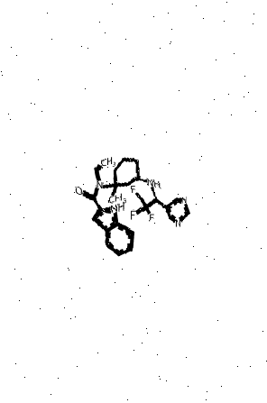 CCN(C(=O)c1cc2ccccc2[nH]1)C1(C)CCC[C@@H](N[C@@H](c2cncnc2)C(F)(F)F)C1